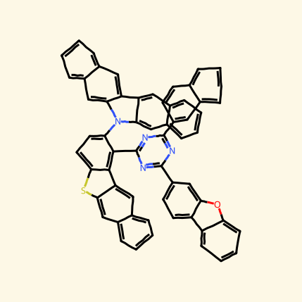 c1ccc2cc(-c3nc(-c4ccc5c(c4)oc4ccccc45)nc(-c4c(-n5c6cc7ccccc7cc6c6cc7ccccc7cc65)ccc5sc6cc7ccccc7cc6c45)n3)ccc2c1